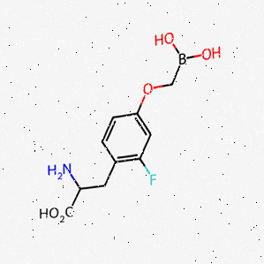 NC(Cc1ccc(OCB(O)O)cc1F)C(=O)O